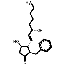 CCCCC[C@H](O)/C=C/[C@H]1[C@H](O)CC(=O)[C@@H]1Cc1ccccc1